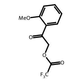 COc1ccccc1C(=O)COC(=O)C(F)(F)F